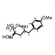 COc1ccc(CC(C/C(N)=N/O)NC(=O)O)cc1